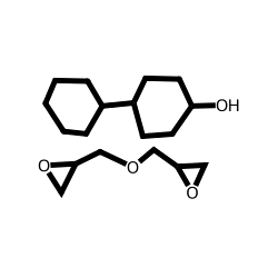 C(OCC1CO1)C1CO1.OC1CCC(C2CCCCC2)CC1